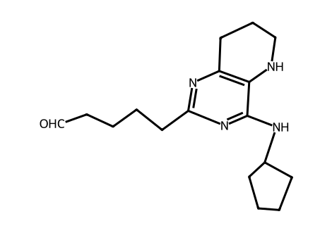 O=CCCCCc1nc2c(c(NC3CCCC3)n1)NCCC2